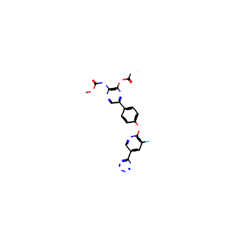 CCCCCC(=O)Oc1nc(-c2ccc(Oc3ncc(-c4nn[nH]n4)cc3F)cc2)cnc1NC(=O)OC(C)(C)C